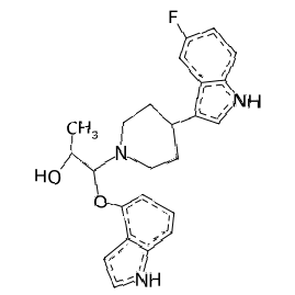 CC(O)C(Oc1cccc2[nH]ccc12)N1CCC(c2c[nH]c3ccc(F)cc23)CC1